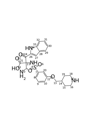 NCC(NS(=O)(=O)c1cccc(OCC2CCNCC2)c1)(C(=O)O)C(=O)c1cc2ccccc2[nH]1